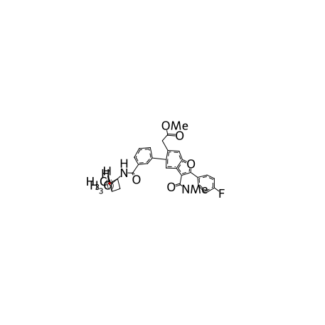 CNC(=O)c1c(-c2ccc(F)cc2)oc2cc(CC(=O)OC)c(-c3cccc(C(=O)NC45CC([C@@H]4C)[C@@H]5C)c3)cc12